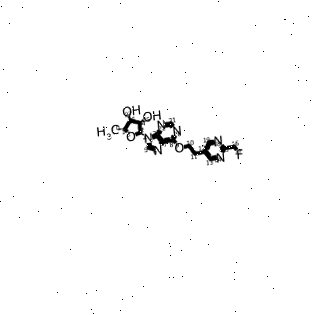 C[C@H]1O[C@@H](n2cnc3c(OCCc4cnc(CF)nc4)ncnc32)[C@H](O)[C@@H]1O